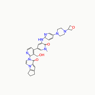 Cn1cc(-c2ccnc(-n3ccn4c5c(cc4c3=O)CCC5)c2CO)cc(Nc2ccc(N3CCN(C4COC4)CC3)cn2)c1=O